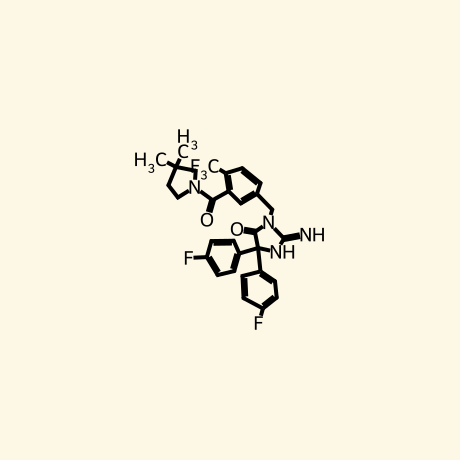 CC1(C)CCN(C(=O)c2cc(CN3C(=N)NC(c4ccc(F)cc4)(c4ccc(F)cc4)C3=O)ccc2C(F)(F)F)C1